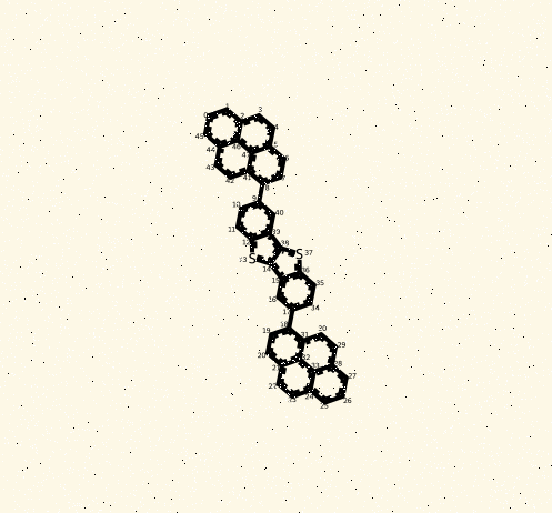 c1cc2ccc3ccc(-c4ccc5sc6c7cc(-c8ccc9ccc%10cccc%11ccc8c9c%10%11)ccc7sc6c5c4)c4ccc(c1)c2c34